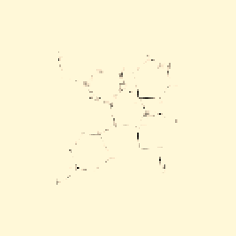 CC(C)Oc1ccc2c(c1)C(C1CCC(C(C)C)CC1)N(CCN)C(=O)C21CCNCC1